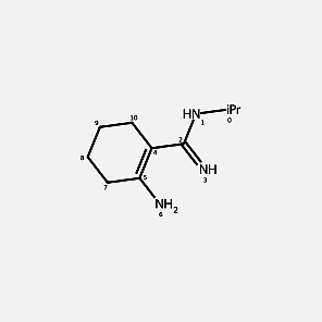 CC(C)NC(=N)C1=C(N)CCCC1